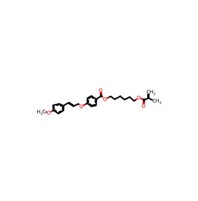 C=C(C)C(=O)OCCCCCCOC(=O)c1ccc(OC/C=C/c2ccc(OC)cc2)cc1